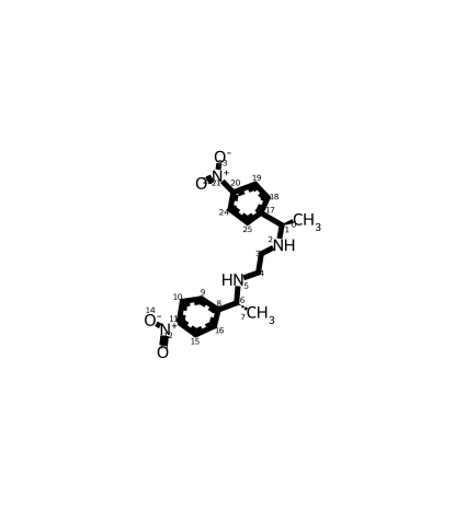 C[C@@H](NCCN[C@H](C)c1ccc([N+](=O)[O-])cc1)c1ccc([N+](=O)[O-])cc1